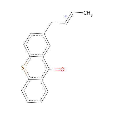 C/C=C/Cc1ccc2sc3ccccc3c(=O)c2c1